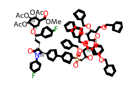 COC(=O)C1C[C@@H](O[C@@H](CC[C@H]2C(=O)N(c3ccc(F)cc3)[C@@H]2c2ccc(-c3ccc(S(=O)(=O)C[C@@H]4OC(COCc5ccccc5)[C@@H](O[C@@H]5OC(COCc6ccccc6)[C@@H](OCc6ccccc6)[C@@H](OCc6ccccc6)C5OCc5ccccc5)[C@@H](OCc5ccccc5)C4OCc4ccccc4)cc3)cc2)c2ccc(F)cc2)C(OC(C)=O)[C@@H](OC(C)=O)[C@@H]1OC(C)=O